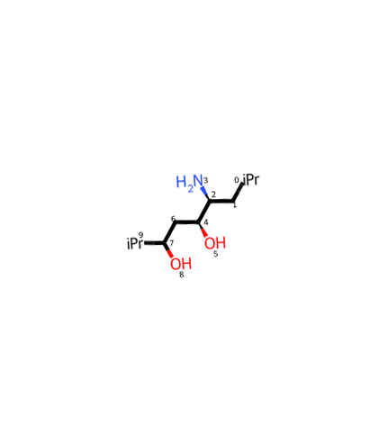 CC(C)C[C@H](N)[C@@H](O)CC(O)C(C)C